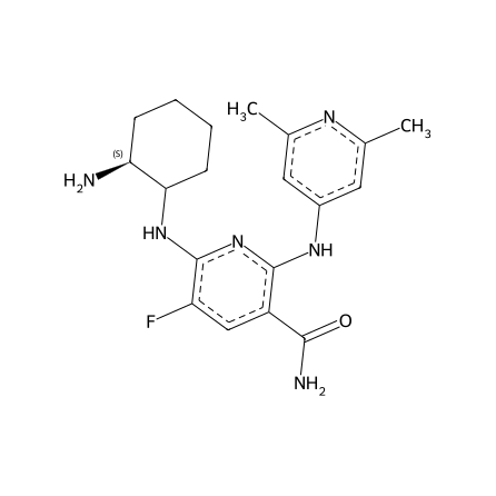 Cc1cc(Nc2nc(NC3CCCC[C@@H]3N)c(F)cc2C(N)=O)cc(C)n1